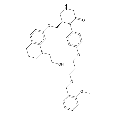 COc1ccccc1COCCCOc1ccc(N2C(=O)CNC[C@@H]2COc2ccc3c(c2)N(CCO)CCC3)cc1